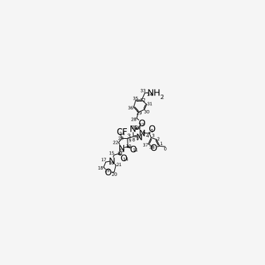 Cc1cc(C(=O)n2nc(C3C(=O)N(C(=O)CN4CCOCC4)CC3C(F)(F)F)nc2OCc2ccc(CN)cc2)co1